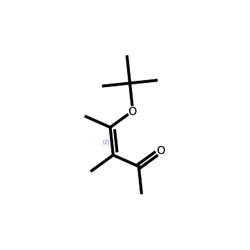 CC(=O)/C(C)=C(/C)OC(C)(C)C